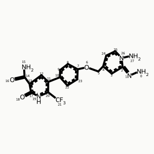 N/N=c1/cc(COc2ccc(-c3cc(C(N)=O)c(=O)[nH]c3C(F)(F)F)cc2)ccn1N